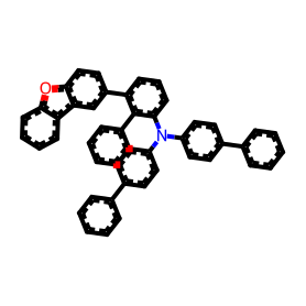 c1ccc(-c2ccc(N(c3ccc(-c4ccccc4)cc3)c3cccc(-c4ccc5oc6ccccc6c5c4)c3-c3ccccc3)cc2)cc1